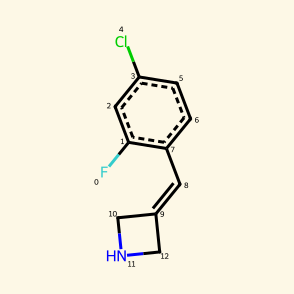 Fc1cc(Cl)ccc1C=C1CNC1